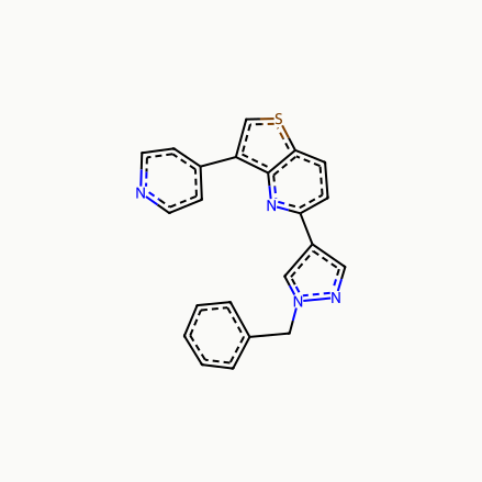 c1ccc(Cn2cc(-c3ccc4scc(-c5ccncc5)c4n3)cn2)cc1